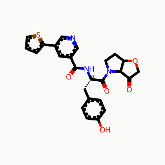 O=C(N[C@@H](Cc1ccc(O)cc1)C(=O)N1CCC2OCC(=O)C21)c1cncc(-c2cccs2)c1